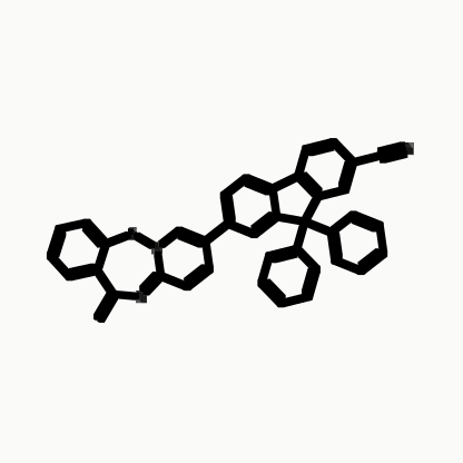 C=C1N=C2C=CC(c3ccc4c(c3)C(c3ccccc3)(c3ccccc3)c3cc(C#N)ccc3-4)=CN2Sc2ccccc21